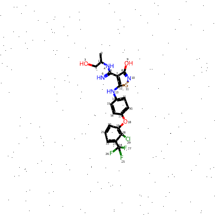 CC(CO)NC(=N)c1c(O)nsc1Nc1ccc(Oc2cccc(C(F)(F)F)c2Cl)cc1